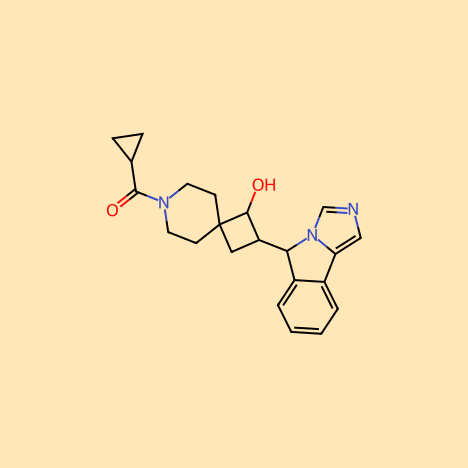 O=C(C1CC1)N1CCC2(CC1)CC(C1c3ccccc3-c3cncn31)C2O